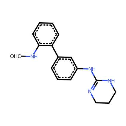 O=CNc1[c]cccc1-c1cccc(NC2=NCCCN2)c1